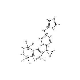 Cc1cc2c(cc1C1(c3ccc(Cc4nnno4)cc3)CC1)C(C)(C)C=CC2(C)C